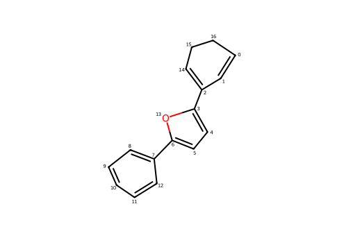 C1=CC(c2ccc(-c3ccccc3)o2)=CCC1